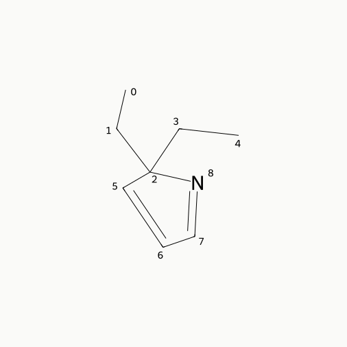 CCC1(CC)C=CC=N1